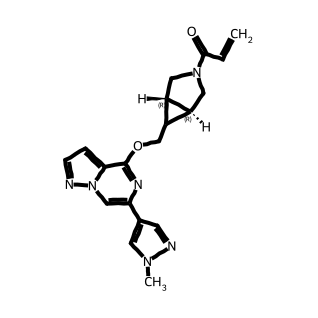 C=CC(=O)N1C[C@H]2C(COc3nc(-c4cnn(C)c4)cn4nccc34)[C@@H]2C1